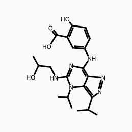 CC(O)CNc1nc(Nc2ccc(O)c(C(=O)O)c2)c2nnc(C(C)C)c-2n1C(C)C